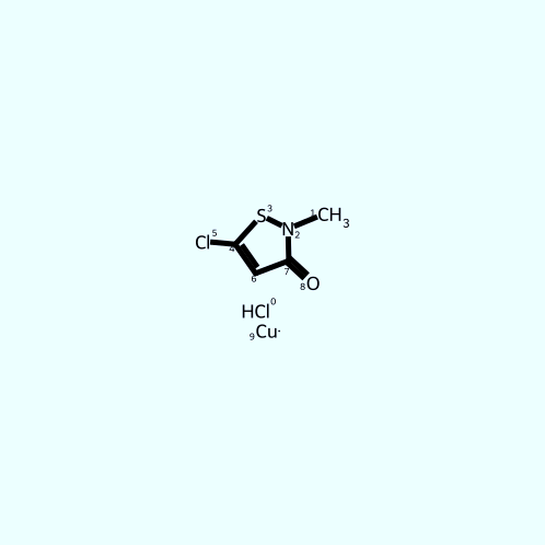 Cl.Cn1sc(Cl)cc1=O.[Cu]